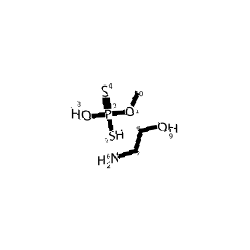 COP(O)(=S)S.NCCO